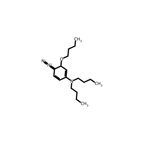 CCCCOC1C=C(N(CCCC)CCCC)C=CC1=[N+]=[N-]